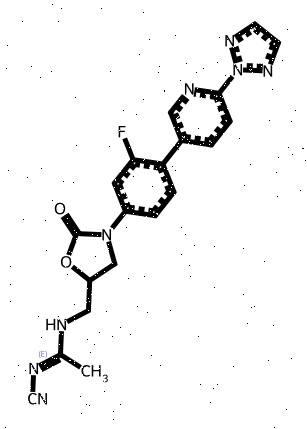 C/C(=N\C#N)NCC1CN(c2ccc(-c3ccc(-n4nccn4)nc3)c(F)c2)C(=O)O1